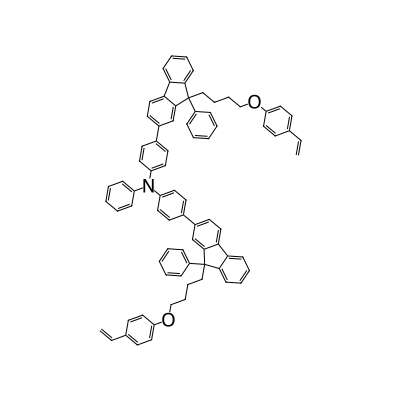 C=Cc1ccc(OCCCCC2(c3ccccc3)c3ccccc3-c3ccc(-c4ccc(N(c5ccccc5)c5ccc(-c6ccc7c(c6)C(CCCCOc6ccc(C=C)cc6)(c6ccccc6)c6ccccc6-7)cc5)cc4)cc32)cc1